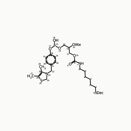 CCCCCCCCCCCCCCCCNC(=O)OCC(COP(O)Oc1ccc(CN2CSC(C)=C2C)cc1)OC